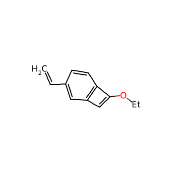 C=Cc1ccc2c(c1)C=C2OCC